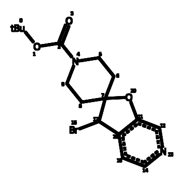 CC(C)(C)OC(=O)N1CCC2(CC1)Oc1cnccc1C2Br